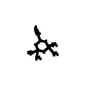 CC1(C)CC(C#N)CC(C)(C)C1